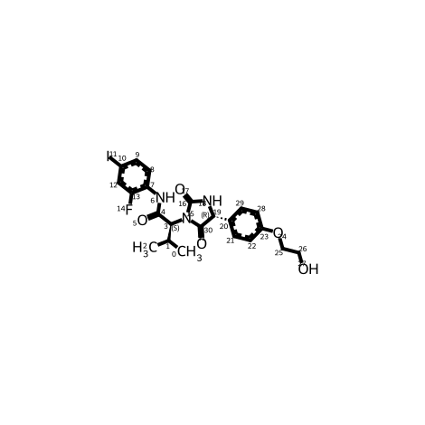 CC(C)[C@@H](C(=O)Nc1ccc(I)cc1F)N1C(=O)N[C@H](c2ccc(OCCO)cc2)C1=O